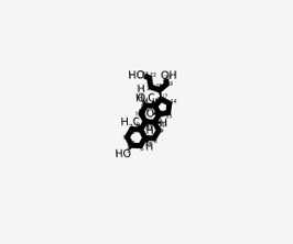 C[C@]12CC[C@H](O)C[C@H]1CC[C@@H]1[C@@H]2C[C@@H](O)[C@]2(C)[C@@H](C(CO)CCO)CC[C@]12O